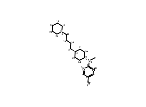 CN(c1ncc(Br)cn1)[C@H]1CC[C@H](CCCCN2CCCCC2)CC1